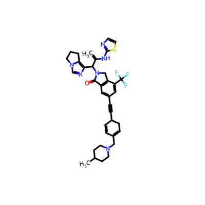 C=C(Nc1nccs1)C(c1ncn2c1CCC2)N1Cc2c(cc(C#CC3C=CC(CN4CCC(C)CC4)=CC3)cc2C(F)(F)F)C1=O